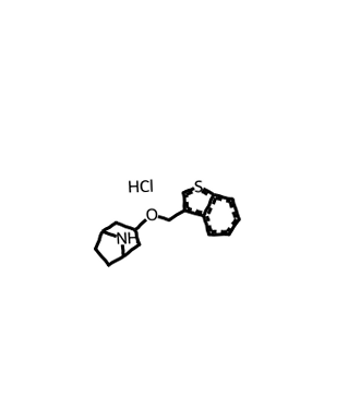 Cl.c1ccc2c(COC3CC4CCC(C3)N4)csc2c1